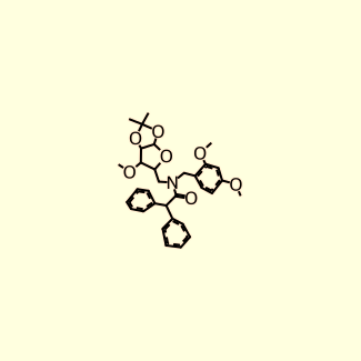 COc1ccc(CN(CC2OC3OC(C)(C)OC3C2OC)C(=O)C(c2ccccc2)c2ccccc2)c(OC)c1